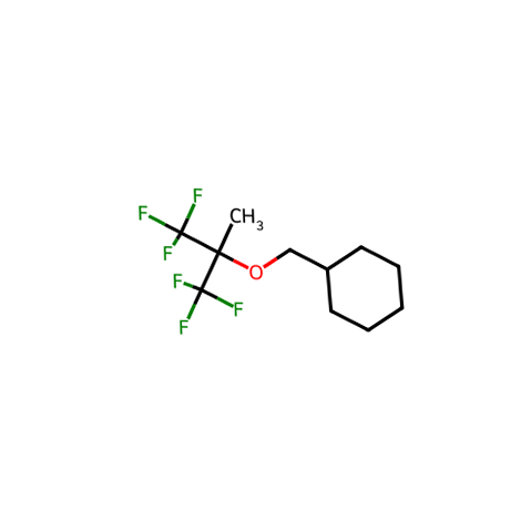 CC(OCC1CCCCC1)(C(F)(F)F)C(F)(F)F